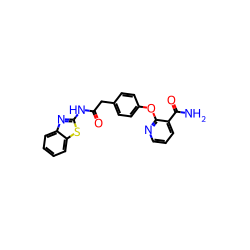 NC(=O)c1cccnc1Oc1ccc(CC(=O)Nc2nc3ccccc3s2)cc1